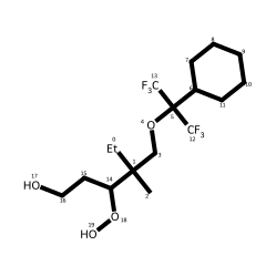 CCC(C)(COC(C1CCCCC1)(C(F)(F)F)C(F)(F)F)C(CCO)OO